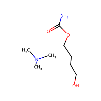 CN(C)C.NC(=O)OCCCCO